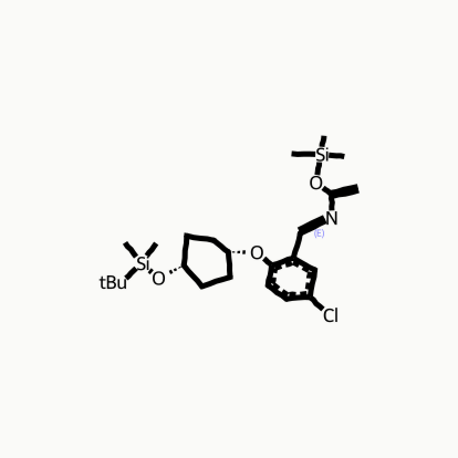 C=C(/N=C/c1cc(Cl)ccc1O[C@H]1CC[C@@H](O[Si](C)(C)C(C)(C)C)CC1)O[Si](C)(C)C